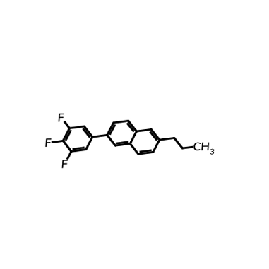 CCCc1ccc2cc(-c3cc(F)c(F)c(F)c3)ccc2c1